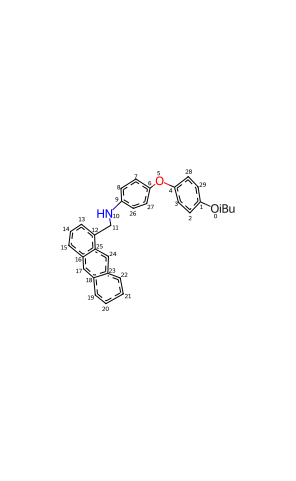 CC(C)COc1ccc(Oc2ccc(NCc3cccc4cc5ccccc5cc34)cc2)cc1